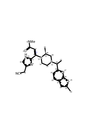 CNC(=O)/C=C(\c1nc(CC#N)c[nH]1)N1CCN(C(C)c2ccc3cc(C)sc3n2)C[C@@H]1C